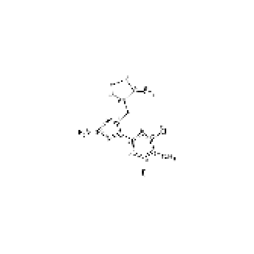 Cc1c(F)cc(-c2nc(N)sc2CN2CCC[C@H]2C)cc1Cl